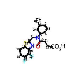 CCc1cccc(N(Cc2nc3c(F)c(F)ccc3s2)C(=O)CCC(=O)O)c1